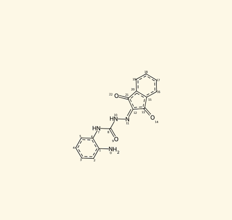 Nc1ccccc1NC(=O)NN=c1c(=O)c2ccccc2c1=O